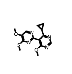 COc1cnc(-c2c(OC)ncnc2C2CC2)nc1SC